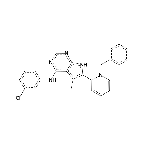 Cc1c(C2C=CC=CN2Cc2ccccc2)[nH]c2ncnc(Nc3cccc(Cl)c3)c12